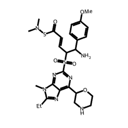 CCc1nc2c(C3CNCCO3)nc(S(=O)(=O)C(C=CC(=O)SN(C)C)C(N)c3ccc(OC)cc3)nc2n1C